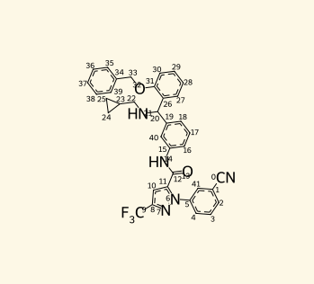 N#Cc1cccc(-n2nc(C(F)(F)F)cc2C(=O)Nc2cccc(C(NCC3CC3)c3ccccc3OCc3ccccc3)c2)c1